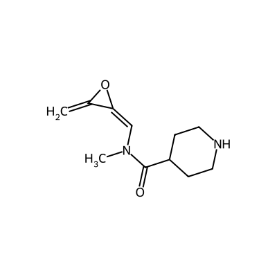 C=C1O/C1=C/N(C)C(=O)C1CCNCC1